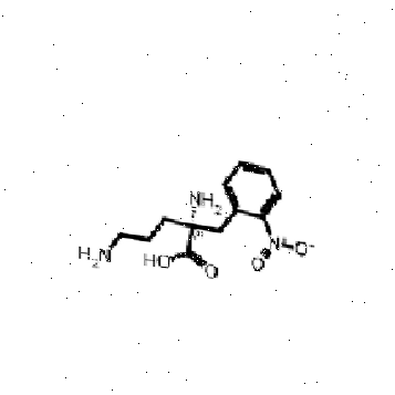 NCCC[C@@](N)(Cc1ccccc1[N+](=O)[O-])C(=O)O